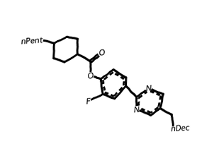 CCCCCCCCCCCc1cnc(-c2ccc(OC(=O)C3CCC(CCCCC)CC3)c(F)c2)nc1